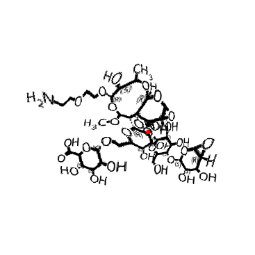 COC1O[C@@H](OCCOCCN)[C@@H](O)C(C)O[C@@H]2OC3O[C@@H]3C(O[C@@H]3OC(CO)[C@@H](O[C@H]4OC5O[C@@H]5C(O)[C@@H]4O)C(O)[C@@H]3O)[C@@]2(O)C1[C@H]1OC(CO[C@H]2OC(C(=O)O)[C@@H](O)[C@H](O)C2O)[C@@H](O)[C@H](O)C1O